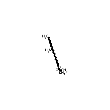 C=C(C)C(=O)OCCCCCCCCCCC(N)CCCCCCCC